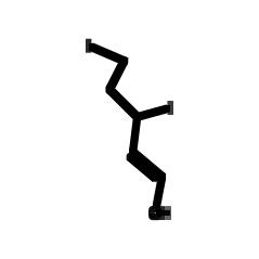 OC=CC(I)CCI